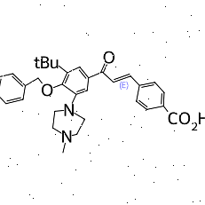 CN1CCN(c2cc(C(=O)/C=C/c3ccc(C(=O)O)cc3)cc(C(C)(C)C)c2OCc2ccccc2)CC1